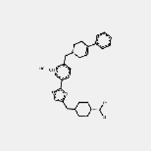 CCC(CC)N1CCC(Cc2noc(-c3ccc(CN4CC=C(c5ccccc5)CC4)cc3)n2)CC1.Cl.Cl